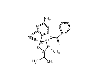 CC(C)[C@H]1O[C@@](C#N)(n2ccc(N)nc2=O)[C@H](OC(=O)c2ccccc2)[C@@H]1C